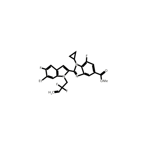 C=CC(F)(F)Cn1c(-c2nc3cc(C(=O)OC)cc(F)c3n2C2CC2)cc2cc(F)c(CC)cc21